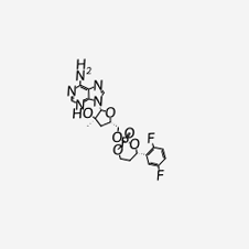 C[C@@]1(O)C[C@@H](COP2(=O)OCC[C@@H](c3cc(F)ccc3F)O2)O[C@H]1n1cnc2c(N)ncnc21